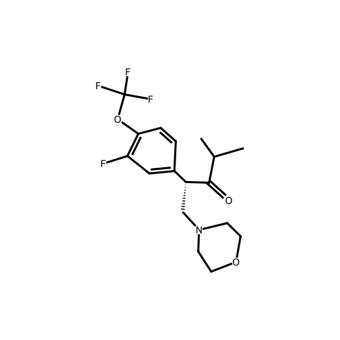 CC(C)C(=O)[C@H](CN1CCOCC1)c1ccc(OC(F)(F)F)c(F)c1